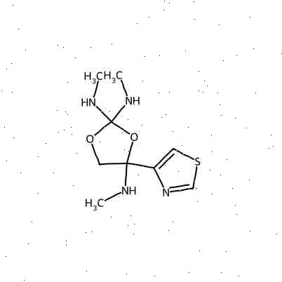 CNC1(NC)OCC(NC)(c2cs[c]n2)O1